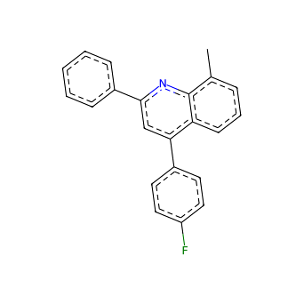 Cc1cccc2c(-c3ccc(F)cc3)cc(-c3ccccc3)nc12